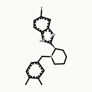 Cc1ccc(CN2CCCC[C@@H]2c2nc3cc(F)ccc3[nH]2)cc1C